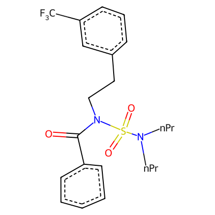 CCCN(CCC)S(=O)(=O)N(CCc1cccc(C(F)(F)F)c1)C(=O)c1ccccc1